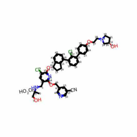 C[C@@](CO)(NCc1cc(Cl)c(O[C@H]2CCc3c(-c4cccc(-c5ccc(OCCN6CC[C@@H](O)C6)cc5)c4Cl)cccc32)nc1OCc1cncc(C#N)c1)C(=O)O